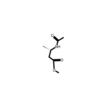 COC(=O)C[C@H](C)NC(C)=O